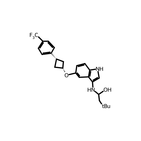 CC(C)(C)CC(O)Nc1c[nH]c2ccc(O[C@H]3C[C@@H](c4ccc(C(F)(F)F)cc4)C3)cc12